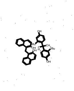 CC(C)(C)c1cc(O)ccc1C(C)(C)c1ccc(O)cc1C(C)(C)C.Oc1ccc2ccccc2c1Cc1c(O)ccc2ccccc12